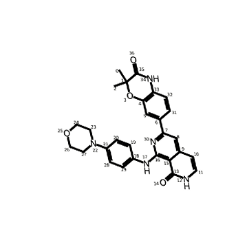 CC1(C)Oc2cc(-c3cc4cc[nH]c(=O)c4c(Nc4ccc(N5CCOCC5)cc4)n3)ccc2NC1=O